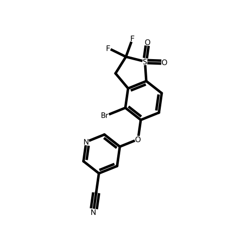 N#Cc1cncc(Oc2ccc3c(c2Br)CC(F)(F)S3(=O)=O)c1